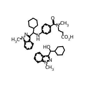 CN(CCC(=O)O)C(=O)c1ccc(NC(c2nn(C)c3ccccc23)C2CCCCC2)cc1.Cn1nc(C(O)C2CCCCC2)c2ccccc21